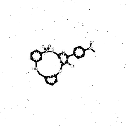 CCc1c2nc(nc1-c1ccc([S+](C)[O-])cc1)NS(=O)(=O)c1cccc(c1)NCc1cccc(c1)O2